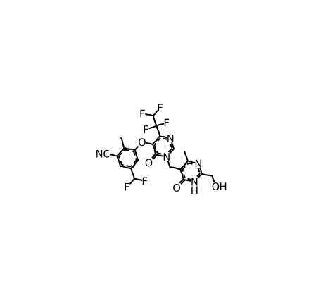 Cc1nc(CO)[nH]c(=O)c1Cn1cnc(C(F)(F)C(F)F)c(Oc2cc(C(F)F)cc(C#N)c2C)c1=O